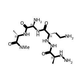 CNC(=O)[C@H](C)NC(=O)[C@@H](N)NC(=O)[C@H](CCN)NNC(=O)[C@H](C)NN